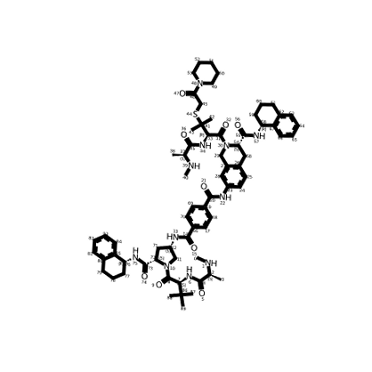 CN[C@@H](C)C(=O)N[C@H](C(=O)N1C[C@@H](NC(=O)c2ccc(C(=O)Nc3ccc4c(c3)CN(C(=O)[C@@H](NC(=O)[C@H](C)NC)C(C)(C)SCC(=O)N3CCCCC3)[C@H](C(=O)N[C@@H]3CCCc5ccccc53)C4)cc2)C[C@H]1C(=O)N[C@@H]1CCCc2ccccc21)C(C)(C)C